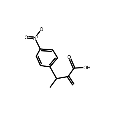 C=C(C(=O)O)C(C)c1ccc([N+](=O)[O-])cc1